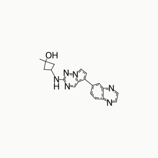 CC1(O)CC(Nc2ncc3c(-c4ccc5nccnc5c4)ccn3n2)C1